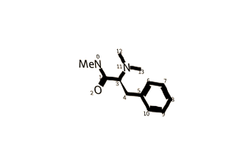 CNC(=O)[C@H](Cc1ccccc1)N(C)C